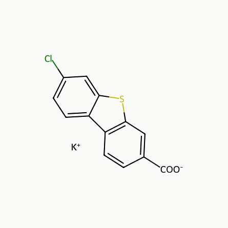 O=C([O-])c1ccc2c(c1)sc1cc(Cl)ccc12.[K+]